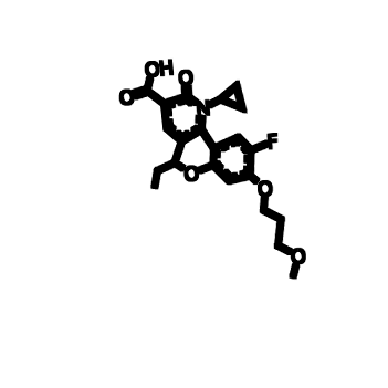 CCC1Oc2cc(OCCCOC)c(F)cc2-c2c1cc(C(=O)O)c(=O)n2C1CC1